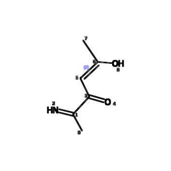 CC(=N)C(=O)/C=C(/C)O